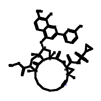 COc1ccc2c(O[C@@H]3C[C@H]4C(=O)N[C@]5(C(=O)NS(=O)(=O)C6CC6)C[C@H]5/C=C\CCCCC[C@@H]5C(=O)N4[C@@H]3CN5C(=O)OC(C)(C)C)cc(-c3cccc(C(C)C)n3)nc2c1Cl